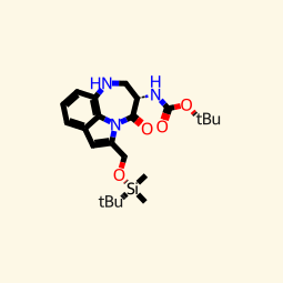 CC(C)(C)OC(=O)N[C@H]1CNc2cccc3cc(CO[Si](C)(C)C(C)(C)C)n(c23)C1=O